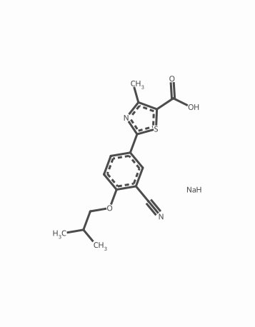 Cc1nc(-c2ccc(OCC(C)C)c(C#N)c2)sc1C(=O)O.[NaH]